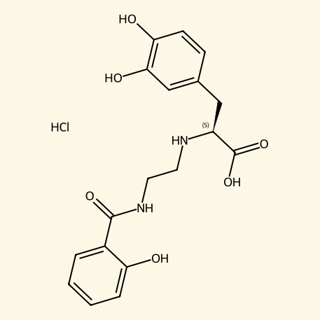 Cl.O=C(NCCN[C@@H](Cc1ccc(O)c(O)c1)C(=O)O)c1ccccc1O